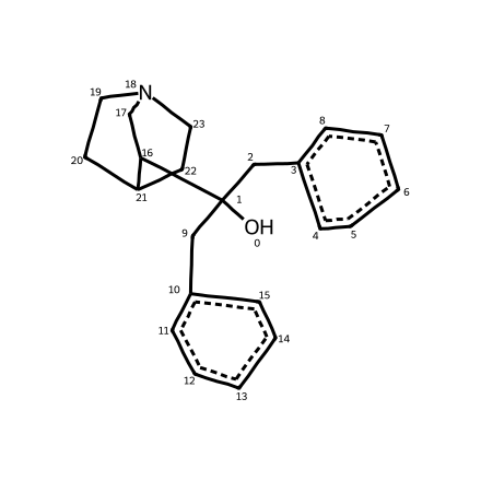 OC(Cc1ccccc1)(Cc1ccccc1)C1CN2CCC1CC2